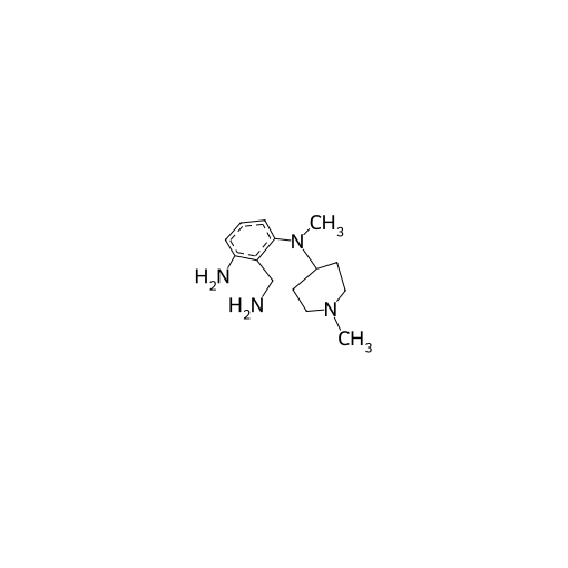 CN1CCC(N(C)c2cccc(N)c2CN)CC1